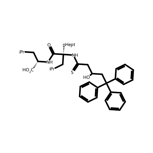 CCCCCCC[C@@](CC(C)C)(NC(=S)CC(O)CC(c1ccccc1)(c1ccccc1)c1ccccc1)C(=O)N[C@@H](CC(C)C)C(=O)O